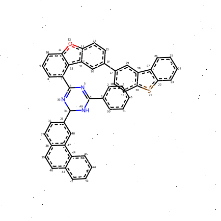 c1ccc(C2=NC(c3cccc4oc5ccc(-c6ccc7sc8ccccc8c7c6)cc5c34)=NC(c3ccc4ccc5ccccc5c4c3)N2)cc1